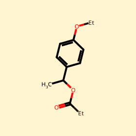 CCOc1ccc(C(C)OC(=O)CC)cc1